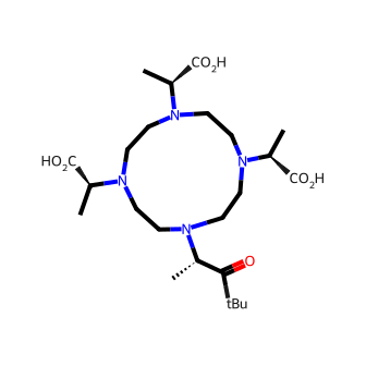 C[C@@H](C(=O)O)N1CCN([C@@H](C)C(=O)O)CCN([C@@H](C)C(=O)C(C)(C)C)CCN([C@@H](C)C(=O)O)CC1